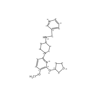 COc1ccc(N2CCC(NCc3cccnc3)CC2)nc1OC1CCOC1